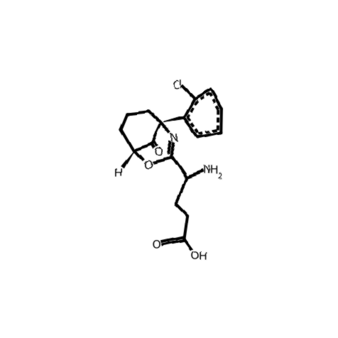 NC(CCC(=O)O)C1=N[C@@]2(c3ccccc3Cl)CCC[C@@H](O1)C2=O